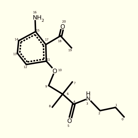 CCCNC(=O)C(C)(C)COc1cccc(N)c1C(C)=O